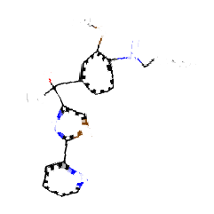 COCNc1ccc(C(C)(O)c2csc(-c3ccccn3)n2)cc1SN=O